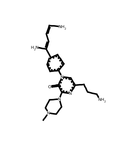 CN1CCN(c2nc(CCCN)cn(-c3ccc(/C(N)=C/C=C\N)cc3)c2=O)CC1